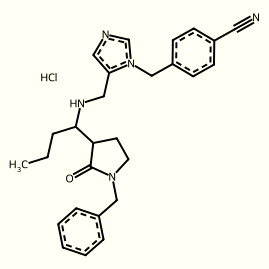 CCCC(NCc1cncn1Cc1ccc(C#N)cc1)C1CCN(Cc2ccccc2)C1=O.Cl